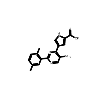 Cc1ccc(C)c(-c2ncc(N)c(-c3c[nH]c(C(=O)O)c3)n2)c1